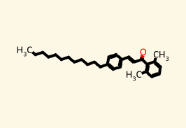 CCCCCCCCCCCCc1ccc(C=CC(=O)c2c(C)cccc2C)cc1